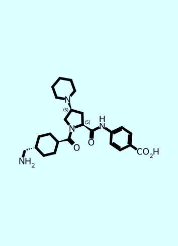 NC[C@H]1CC[C@H](C(=O)N2C[C@@H](N3CCCCC3)C[C@H]2C(=O)Nc2ccc(C(=O)O)cc2)CC1